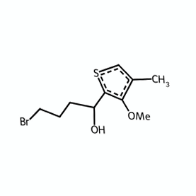 COc1c(C)csc1C(O)CCCBr